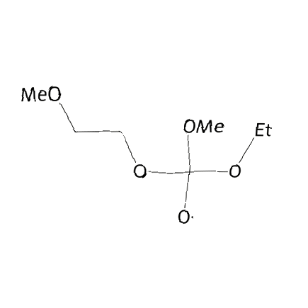 CCOC([O])(OC)OCCOC